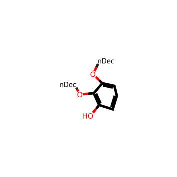 CCCCCCCCCCOc1cccc(O)c1OCCCCCCCCCC